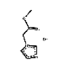 COC(=O)C[n+]1ccsc1.[Br-]